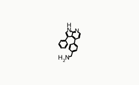 NCc1ccc(-c2ccnc3[nH]cc(-c4ccccc4)c23)cc1